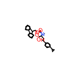 CN(C(=O)OCC1c2ccccc2-c2ccccc21)C(CCc1ccc(C2CC2)cc1)C(=O)O